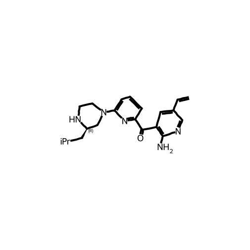 C=Cc1cnc(N)c(C(=O)c2cccc(N3CCN[C@H](CC(C)C)C3)n2)c1